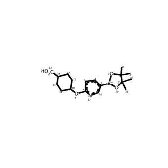 CC1(C)OB(c2ccc(OC3CCC(C(=O)O)CC3)nc2)OC1(C)C